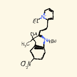 CCCC[N+]1=C(C=Cc2cccc[n+]2CC)C(C)(C)c2cc([N+](=O)[O-])ccc21